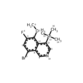 COc1c(F)cc(Br)c2cnc[c]([Sn]([CH3])([CH3])[CH3])c12